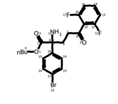 CCCCOC(=O)C(N)(CCC(=O)c1c(F)cccc1F)c1ccc(Br)cc1